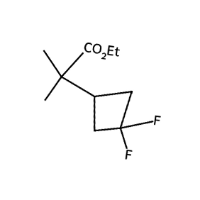 CCOC(=O)C(C)(C)C1CC(F)(F)C1